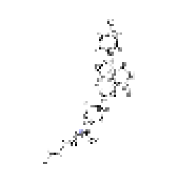 CCCCO/N=[N+](\[O-])N1CCC(C(=O)Oc2c(C)ncc3c2CO[C@H]3c2ccc(Cl)cc2)CC1